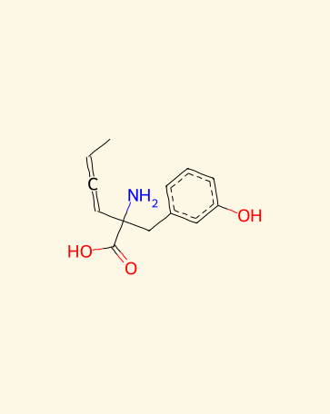 CC=C=CC(N)(Cc1cccc(O)c1)C(=O)O